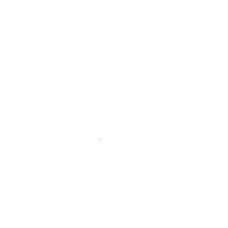 NC1=CC(=O)C(OS(=O)(=O)Cc2ccccc2)(c2cccc(F)c2F)O1